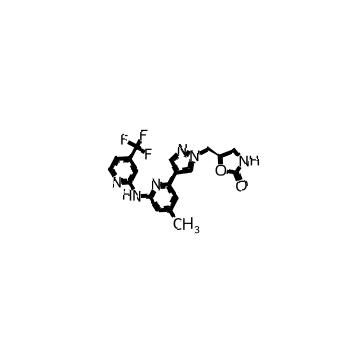 Cc1cc(Nc2cc(C(F)(F)F)ccn2)nc(-c2cnn(C[C@H]3CNC(=O)O3)c2)c1